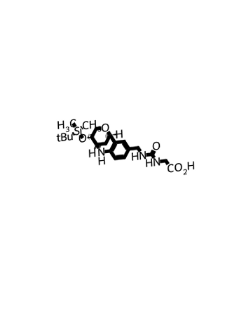 CC(C)(C)[Si](C)(C)O[C@@H]1CO[C@@H]2C[C@H]1Nc1ccc(CNC(=O)NCC(=O)O)cc12